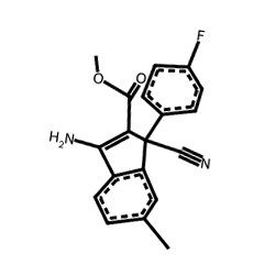 COC(=O)C1=C(N)c2ccc(C)cc2C1(C#N)c1ccc(F)cc1